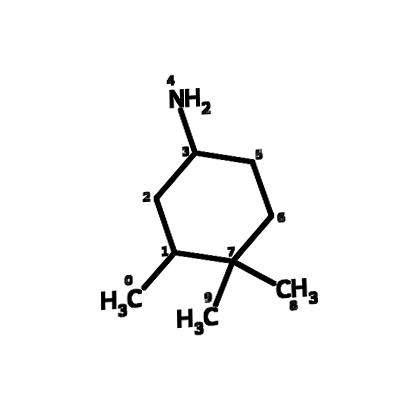 CC1CC(N)CCC1(C)C